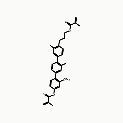 C=C(C)C(=O)OCCCc1ccc(-c2ccc(-c3ccc(OC(=O)C(=C)C)cc3OC)cc2F)cc1F